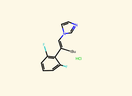 CC(C)(C)C(=Cn1ccnc1)c1c(F)cccc1F.Cl